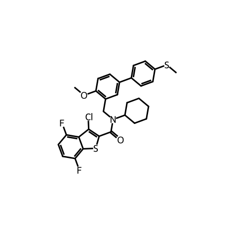 COc1ccc(-c2ccc(SC)cc2)cc1CN(C(=O)c1sc2c(F)ccc(F)c2c1Cl)C1CCCCC1